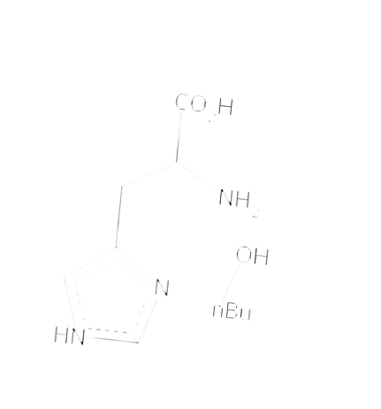 CCCCO.NC(Cc1c[nH]cn1)C(=O)O